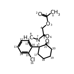 CC(=O)OCC(=O)N(C)[C@@]1(c2ccccc2Cl)CCCCC1=O